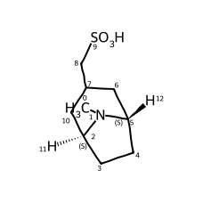 CN1[C@H]2CC[C@H]1CC(CS(=O)(=O)O)C2